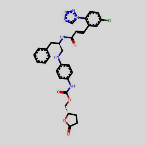 O=C(/C=C/c1cc(Cl)ccc1-n1cnnn1)N[C@@H](CNc1ccc(NC(=O)OC[C@@H]2CCC(=O)O2)cc1)Cc1ccccc1